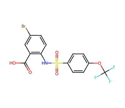 O=C(O)c1cc(Br)ccc1NS(=O)(=O)c1ccc(OC(F)(F)F)cc1